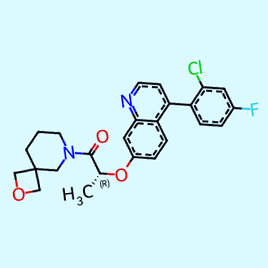 C[C@@H](Oc1ccc2c(-c3ccc(F)cc3Cl)ccnc2c1)C(=O)N1CCCC2(COC2)C1